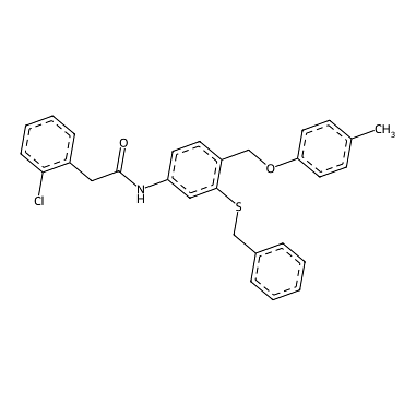 Cc1ccc(OCc2ccc(NC(=O)Cc3ccccc3Cl)cc2SCc2ccccc2)cc1